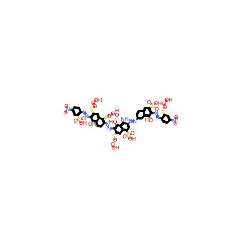 Nc1c(N=Nc2ccc3cc(S(=O)(=O)O)c(N=Nc4ccc([N+](=O)[O-])cc4SOOO)c(O)c3c2)cc(S(=O)(=O)O)c2cc(SOOO)c(N=Nc3ccc4c(O)c(N=Nc5ccc([N+](=O)[O-])cc5S(=O)(=O)O)c(SOOO)cc4c3SOOO)c(O)c12